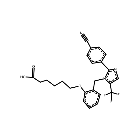 N#Cc1ccc(-c2ncc(C(F)(F)F)n2Cc2ccccc2OCCCCCC(=O)O)cc1